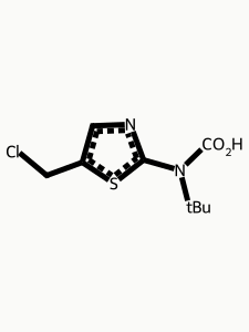 CC(C)(C)N(C(=O)O)c1ncc(CCl)s1